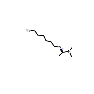 C/C(=N\CCCCCCS)N(C)C